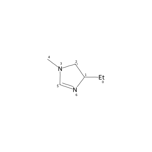 CCC1[C]N(C)[C]=N1